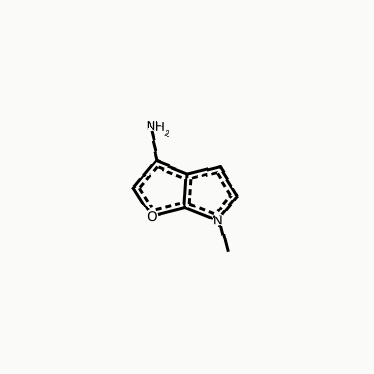 Cn1ccc2c(N)coc21